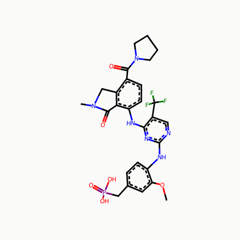 COc1cc(CP(=O)(O)O)ccc1Nc1ncc(C(F)(F)F)c(Nc2ccc(C(=O)N3CCCC3)c3c2C(=O)N(C)C3)n1